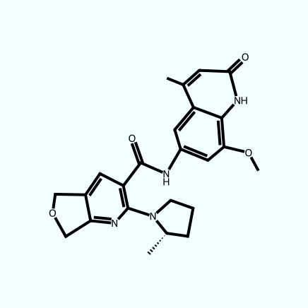 COc1cc(NC(=O)c2cc3c(nc2N2CCC[C@@H]2C)COC3)cc2c(C)cc(=O)[nH]c12